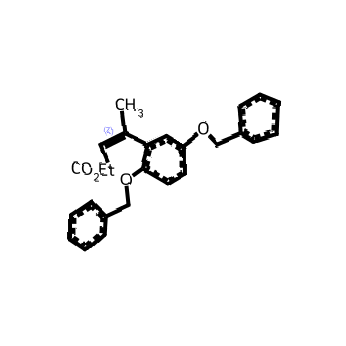 CCOC(=O)/C=C(/C)c1cc(OCc2ccccc2)ccc1OCc1ccccc1